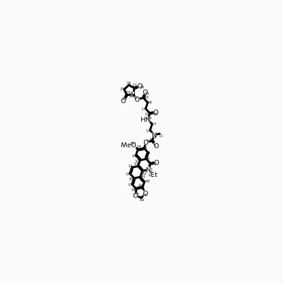 CCn1c(=O)c2cc(OC(=O)N(C)CCNC(=O)CCC(=O)ON3C(=O)CCC3=O)c(OC)cc2c2ccc3cc4c(cc3c21)OCO4